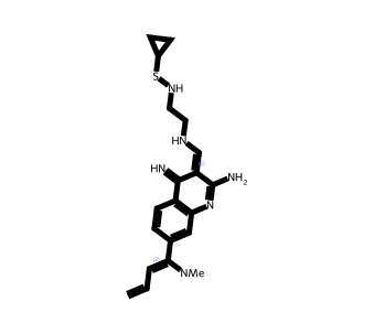 C=C/C=C(\NC)c1ccc2c(c1)N=C(N)/C(=C/NCCNSC1CC1)C2=N